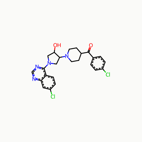 O=C(c1ccc(Cl)cc1)C1CCN(C2CN(c3ncnc4cc(Cl)ccc34)CC2O)CC1